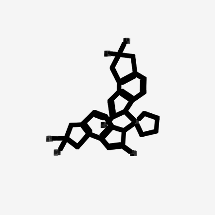 CCC1=Cc2c(ccc3c2CC(CC)(CC)C3)C1[Si]1(C2C(CC)=Cc3c2ccc2c3CC(CC)(CC)C2)CCCC1